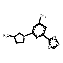 Cc1cc(-c2nnco2)nc(N2CCC(C(F)(F)F)C2)c1